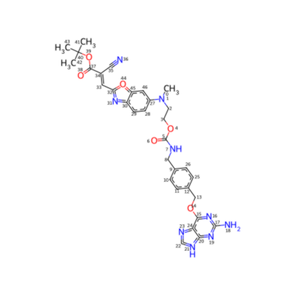 CN(CCOC(=O)NCc1ccc(COc2nc(N)nc3[nH]cnc23)cc1)c1ccc2nc(/C=C(\C#N)C(=O)OC(C)(C)C)oc2c1